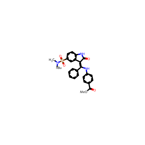 CCCCN(C)S(=O)(=O)c1ccc2c(c1)/C(=C(/Nc1ccc(C(=O)OC)cc1)c1ccccc1)C(=O)N2